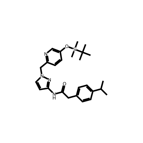 CC(C)c1ccc(CC(=O)Nc2ccn(Cc3ccc(O[Si](C)(C)C(C)(C)C)cn3)n2)cc1